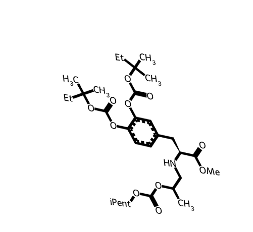 CCCC(C)OC(=O)OC(C)CN[C@@H](Cc1ccc(OC(=O)OC(C)(C)CC)c(OC(=O)OC(C)(C)CC)c1)C(=O)OC